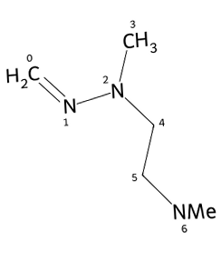 C=NN(C)CCNC